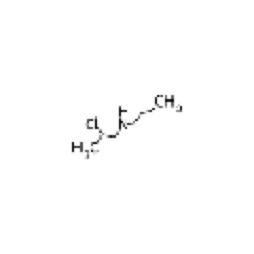 CCCCNCC(C)Cl